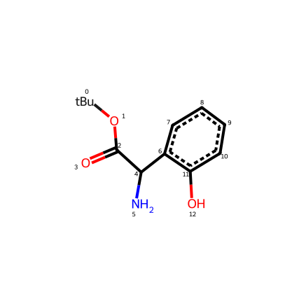 CC(C)(C)OC(=O)C(N)c1ccccc1O